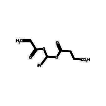 C=CC(=O)OC(OC(=O)CCC(=O)O)C(C)C